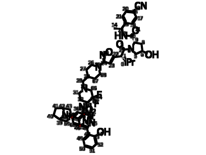 CC(C)[C@@H](C(=O)N1C[C@H](O)C[C@H]1C(=O)N[C@@H](C)c1ccc(C#N)cc1)c1cc(N2CCC(CN3CC[C@@H](Oc4cc(N5C6CCC5CN(c5cc(-c7ccccc7O)nnc5N)C6)ccn4)C(F)(F)C3)CC2)no1